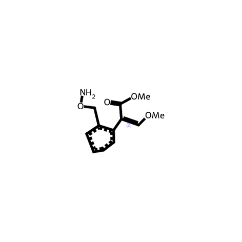 CO/C=C(\C(=O)OC)c1ccccc1CON